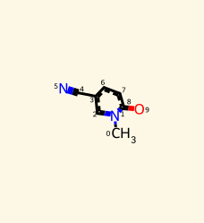 Cn1cc(C#N)ccc1=O